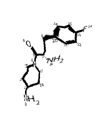 NC1CCN(C(=O)[C@@H](N)Cc2ccc(F)cc2)CC1